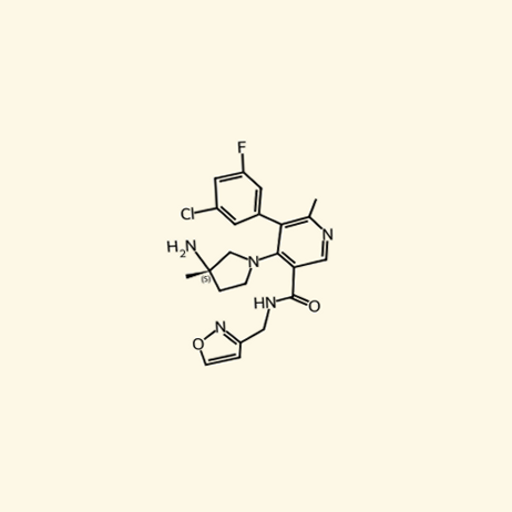 Cc1ncc(C(=O)NCc2ccon2)c(N2CC[C@](C)(N)C2)c1-c1cc(F)cc(Cl)c1